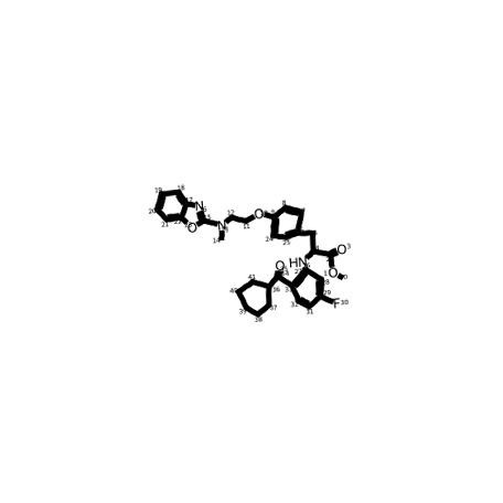 COC(=O)C(Cc1ccc(OCCN(C)c2nc3ccccc3o2)cc1)Nc1cc(F)ccc1C(=O)C1CCCCC1